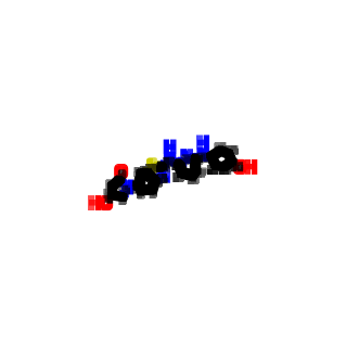 O=C1C[C@H](O)CN1c1ccc2nc(Nc3cccc(N[C@H]4CC[C@H](O)CC4)n3)sc2c1